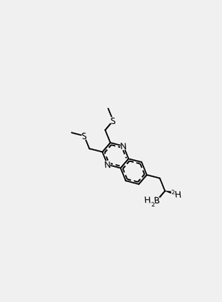 [2H][C@@H](B)Cc1ccc2nc(CSC)c(CSC)nc2c1